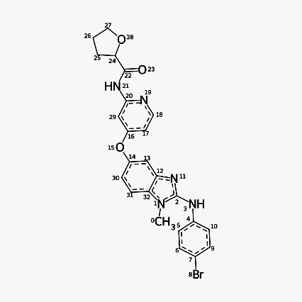 Cn1c(Nc2ccc(Br)cc2)nc2cc(Oc3ccnc(NC(=O)C4CCCO4)c3)ccc21